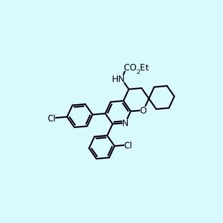 CCOC(=O)NC1CC2(CCCCC2)Oc2nc(-c3ccccc3Cl)c(-c3ccc(Cl)cc3)cc21